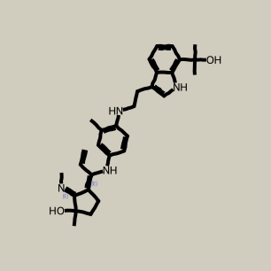 C=C/C(Nc1ccc(NCCc2c[nH]c3c(C(C)(C)O)cccc23)c(C)c1)=C1/CCC(C)(O)/C1=N/C